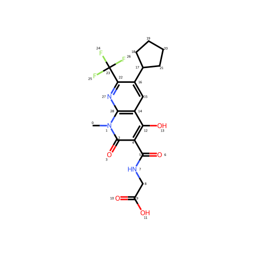 Cn1c(=O)c(C(=O)NCC(=O)O)c(O)c2cc(C3CCCC3)c(C(F)(F)F)nc21